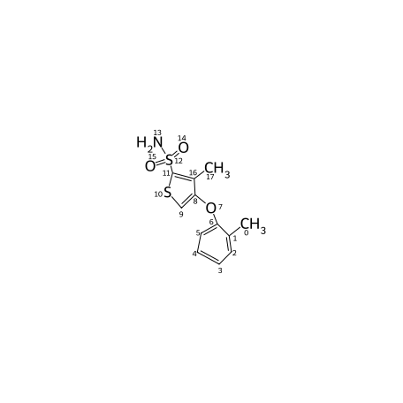 Cc1ccccc1Oc1csc(S(N)(=O)=O)c1C